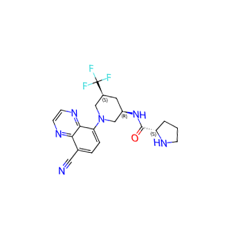 N#Cc1ccc(N2C[C@H](NC(=O)[C@@H]3CCCN3)C[C@H](C(F)(F)F)C2)c2nccnc12